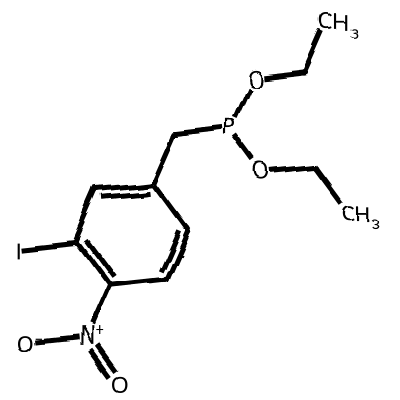 CCOP(Cc1ccc([N+](=O)[O-])c(I)c1)OCC